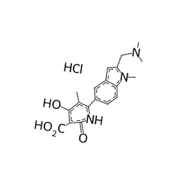 Cc1c(-c2ccc3c(c2)cc(CN(C)C)n3C)[nH]c(=O)c(C(=O)O)c1O.Cl